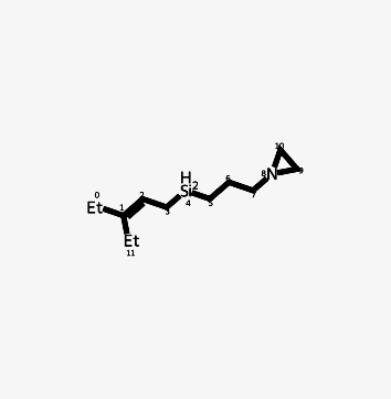 CCC(=CC[SiH2]CCCN1CC1)CC